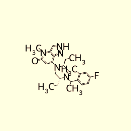 CC[C@H]1CN(C(C)c2ccc(F)cc2C)[C@H](CC)CN1c1cc(=O)n(C)c2c[nH]nc12